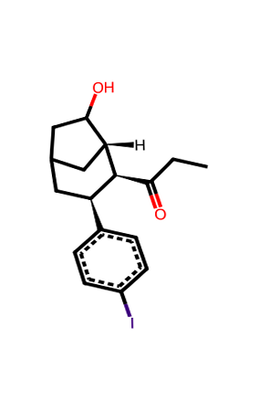 CCC(=O)[C@H]1[C@@H](c2ccc(I)cc2)CC2CC(O)[C@H]1C2